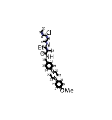 CCC(/N=C(C)/C=C(Cl)\C=C/I)=C(/I)C(=O)NCc1ccc(N2CCN(c3ccc(OC)cc3)CC2)cc1